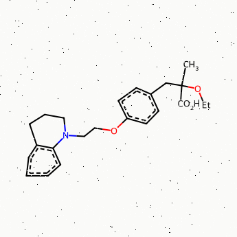 CCOC(C)(Cc1ccc(OCCN2CCCc3ccccc32)cc1)C(=O)O